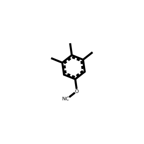 Cc1cc(OC#N)cc(C)c1C